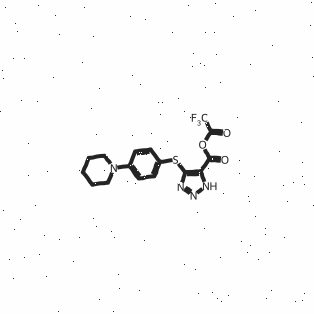 O=C(OC(=O)C(F)(F)F)c1[nH]nnc1Sc1ccc(N2CCCCC2)cc1